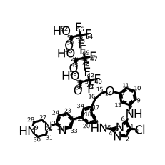 Clc1cnc2nc1Nc1cccc(c1)OCCc1cc(cc(-c3ccc(N4CCNCC4)nc3)c1)N2.O=C(O)C(F)(F)F.O=C(O)C(F)(F)F.O=C(O)C(F)(F)F